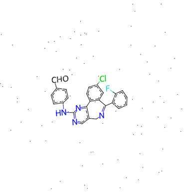 O=Cc1ccc(Nc2ncc3c(n2)-c2ccc(Cl)cc2C(c2ccccc2F)=NC3)cc1